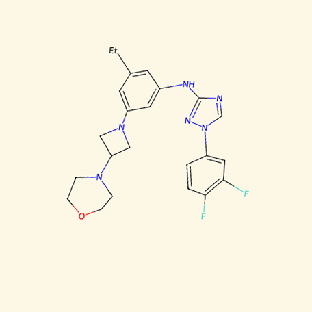 CCc1cc(Nc2ncn(-c3ccc(F)c(F)c3)n2)cc(N2CC(N3CCOCC3)C2)c1